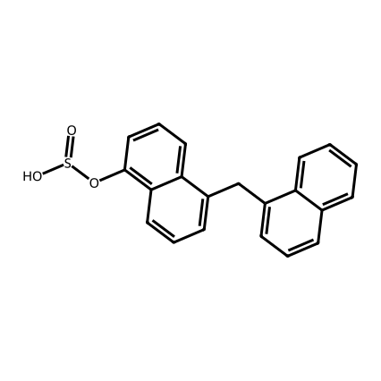 O=S(O)Oc1cccc2c(Cc3cccc4ccccc34)cccc12